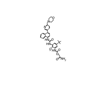 COc1c(NC(=O)Nc2ccc(-c3ccc(CN4CCOCC4)nc3)c3ccccc23)cc(C(C)(C)C)cc1NC(=O)OCC(N)=O